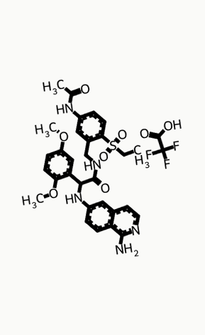 CCS(=O)(=O)c1ccc(NC(C)=O)cc1CNC(=O)C(Nc1ccc2c(N)nccc2c1)c1cc(OC)ccc1OC.O=C(O)C(F)(F)F